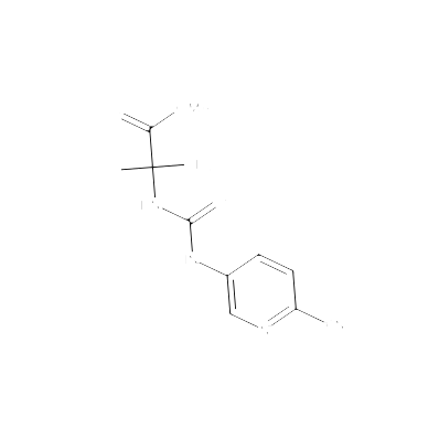 COC(=O)C(C)(C)NC(=O)Nc1ccc(C#N)nc1